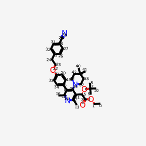 CCOC(=O)[C@@H](OC(C)(C)C)c1c(C)nc(C)c(-c2ccc(OCCc3ccc(C#N)cc3)cc2)c1N1CCC(C)(C)CC1